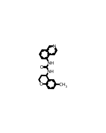 Cc1ccc2c(c1)C(NC(=O)Nc1cccc3cnccc13)CCO2